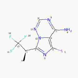 C[C@H](c1nc(I)c2c(N)ncnn12)C(F)(F)F